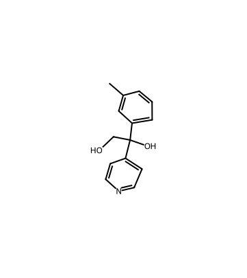 Cc1cccc(C(O)(CO)c2ccncc2)c1